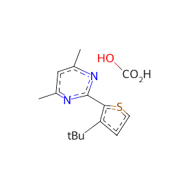 Cc1cc(C)nc(-c2sccc2C(C)(C)C)n1.O=C(O)O